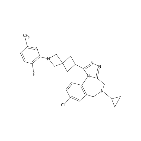 Fc1ccc(C(F)(F)F)nc1N1CC2(CC(c3nnc4n3-c3ccc(Cl)cc3CN(C3CC3)C4)C2)C1